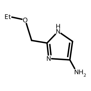 CCOCc1nc(N)c[nH]1